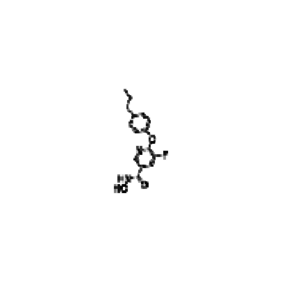 CCCc1ccc(Oc2ncc(C(=O)NO)cc2F)cc1